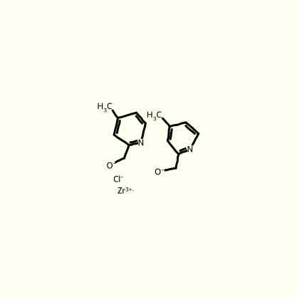 Cc1ccnc(C[O-])c1.Cc1ccnc(C[O-])c1.[Cl-].[Zr+3]